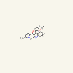 CC(C)c1nc2c(c3c1[C@@H](c1ccc(C(F)(F)F)cn1)OC31CCCC1I)C(O[Si](C)(C)C(C)(C)C)CC(C)(C)C2